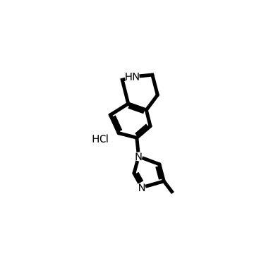 Cc1cn(-c2ccc3c(c2)CCNC3)cn1.Cl